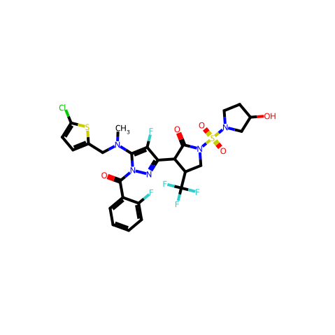 CN(Cc1ccc(Cl)s1)c1c(F)c(C2C(=O)N(S(=O)(=O)N3CCC(O)C3)CC2C(F)(F)F)nn1C(=O)c1ccccc1F